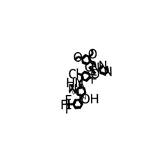 COc1ccc(CN(c2ccncn2)S(=O)(=O)c2cc(Cl)c(N[C@H]3CC[C@@](O)(c4cccc(C(F)(F)F)c4)C[C@@H]3N(C)C)cc2F)c(OC)c1